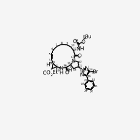 CCOC(=O)[C@@]12C[C@H]1/C=C\CCCCC[C@H](NC(=O)OC(C)(C)C)C(=O)N1CC(n3nc(Br)c(-c4ccccc4)n3)C[C@H]1C(=O)N2